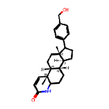 C[C@]12C=CC(=O)NC1CC[C@@H]1[C@H]2CC[C@]2(C)C(c3ccc(CO)cc3)CC[C@@H]12